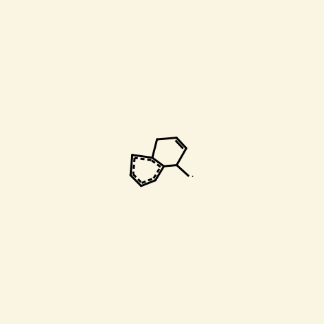 [CH2]C1C=CCc2ccccc21